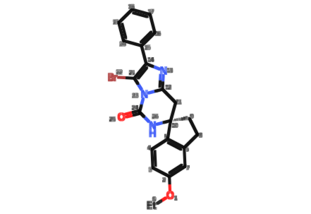 CCOc1ccc2c(c1)CC[C@]21Cc2nc(-c3ccccc3)c(Br)n2C(=O)N1